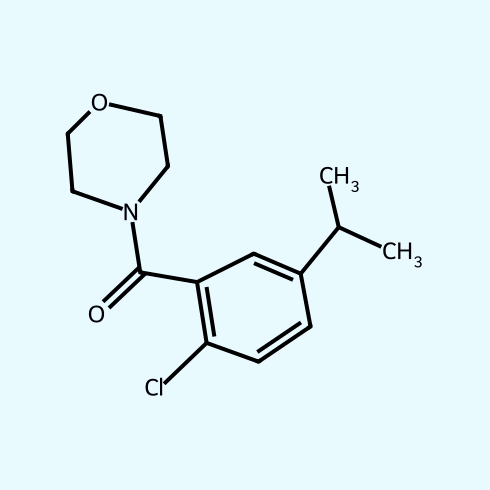 CC(C)c1ccc(Cl)c(C(=O)N2CCOCC2)c1